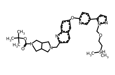 C[SiH](C)CCOCn1nccc1-c1ccc(Oc2ccc3nc(CN4CC5CN(C(=O)OC(C)(C)C)CC5C4)ccc3c2)nc1